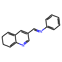 C(=Nc1ccccc1)c1cnc2c(c1)=CCCC=2